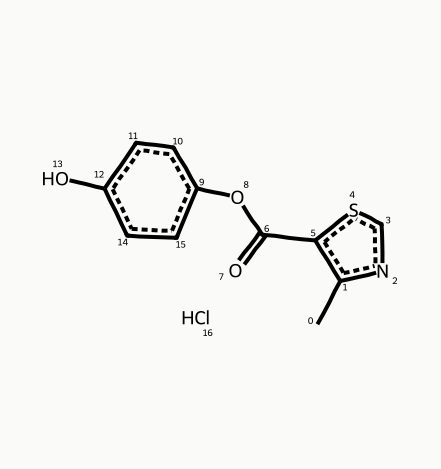 Cc1ncsc1C(=O)Oc1ccc(O)cc1.Cl